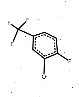 [O]c1cc(C(F)(F)F)ccc1F